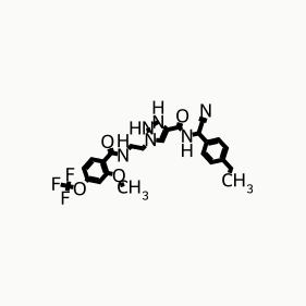 CCc1ccc(C(C#N)NC(=O)C2=CN(CCNC(=O)c3ccc(OC(F)(F)F)cc3OC)NN2)cc1